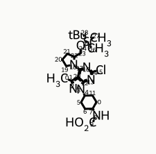 Cc1nn(C2CCC(NC(=O)O)CC2)c2nc(Cl)nc(N3CCCC3CO[Si](C)(C)C(C)(C)C)c12